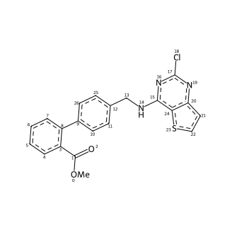 COC(=O)c1ccccc1-c1ccc(CNc2nc(Cl)nc3ccsc23)cc1